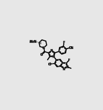 CN[C@@H]1CCCN(C(=O)c2nc(-c3ccc(C#N)c(F)c3)n(-c3cc4c(F)n(C)nc4cc3Cl)c2C)C1